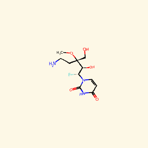 CO[C@@](CO)(CCN)[C@@H](O)[C@@H](F)n1ccc(=O)[nH]c1=O